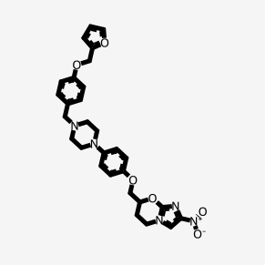 O=[N+]([O-])c1cn2c(n1)OC(COc1ccc(N3CCN(Cc4ccc(OCc5ccco5)cc4)CC3)cc1)CC2